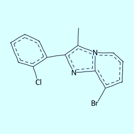 Cc1c(-c2ccccc2Cl)nc2c(Br)cccn12